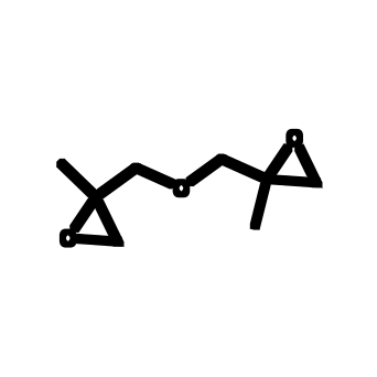 CC1(COCC2(C)CO2)CO1